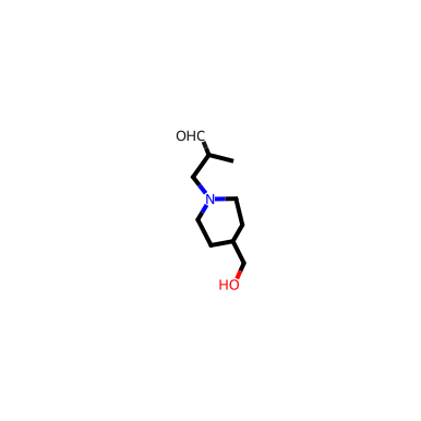 CC(C=O)CN1CCC(CO)CC1